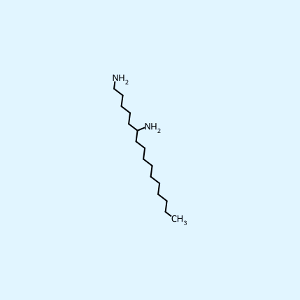 CCCCCCCCCCC(N)CCCCCN